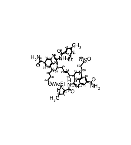 CCn1nc(C)cc1C(=O)Nc1nc2cc(C(N)=O)cc3c2n1[C@@H](C/C=C/C[C@H]1CN(CCCOC)c2cc(C(N)=O)cc4nc(NC(=O)c5cc(C)nn5CC)n1c24)CN3CCCOC